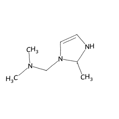 C[C]1NC=CN1CN(C)C